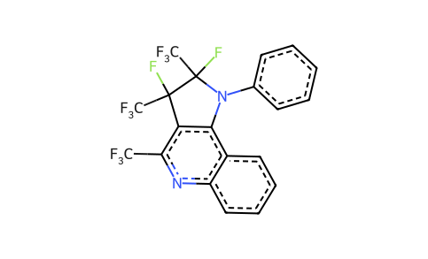 FC(F)(F)c1nc2ccccc2c2c1C(F)(C(F)(F)F)C(F)(C(F)(F)F)N2c1ccccc1